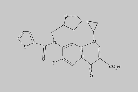 O=C(O)c1cn(C2CC2)c2cc(N(CC3CCCO3)C(=O)c3cccs3)c(F)cc2c1=O